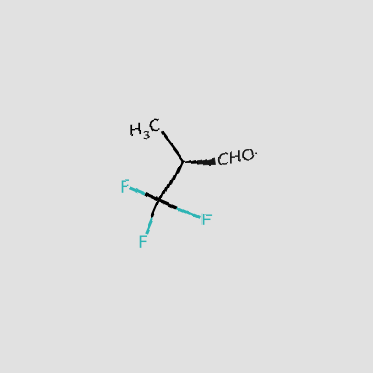 C[C@@H]([C]=O)C(F)(F)F